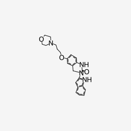 O=C1Nc2ccc(OCCCN3CCOCC3)cc2CN1c1cc2ccccc2[nH]1